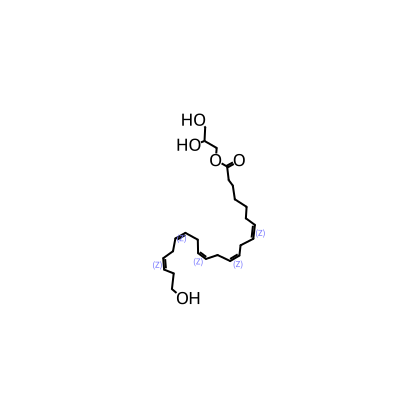 O=C(CCCCC/C=C\C/C=C\C/C=C\C/C=C\C/C=C\CCO)OCC(O)CO